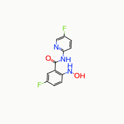 O=C(Nc1ccc(F)cn1)c1cc(F)ccc1NO